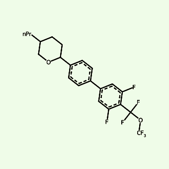 CCCC1CCC(c2ccc(-c3cc(F)c(C(F)(F)OC(F)(F)F)c(F)c3)cc2)OC1